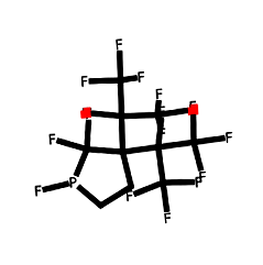 FP1CCC(C(F)(C(F)(F)F)C(F)(F)F)(C(F)(C(F)(F)F)C(F)(F)F)C1(F)F